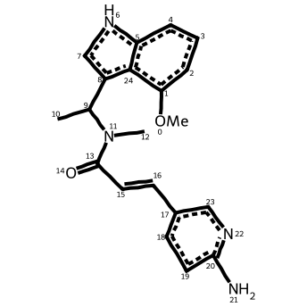 COc1cccc2[nH]cc(C(C)N(C)C(=O)/C=C/c3ccc(N)nc3)c12